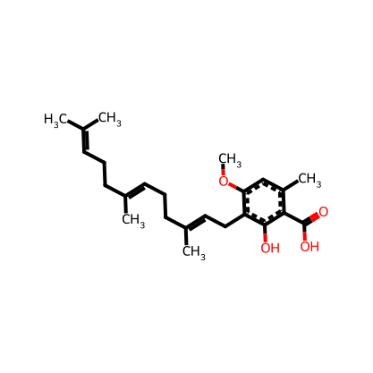 COc1cc(C)c(C(=O)O)c(O)c1C/C=C(\C)CC/C=C(\C)CCC=C(C)C